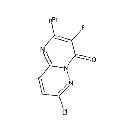 CCCc1nc2ccc(Cl)nn2c(=O)c1F